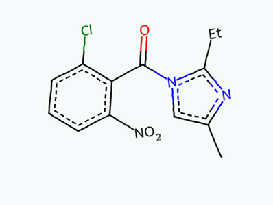 CCc1nc(C)cn1C(=O)c1c(Cl)cccc1[N+](=O)[O-]